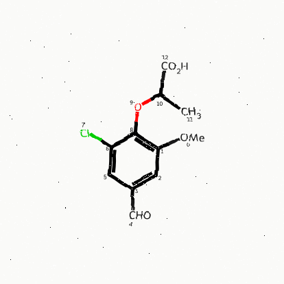 COc1cc(C=O)cc(Cl)c1OC(C)C(=O)O